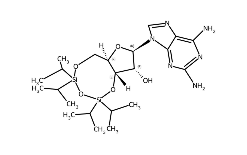 CC(C)[Si]1(C(C)C)OC[C@H]2O[C@@H](n3cnc4c(N)nc(N)nc43)[C@H](O)[C@@H]2O[Si](C(C)C)(C(C)C)O1